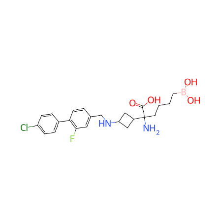 NC(CCCCB(O)O)(C(=O)O)C1CC(NCc2ccc(-c3ccc(Cl)cc3)c(F)c2)C1